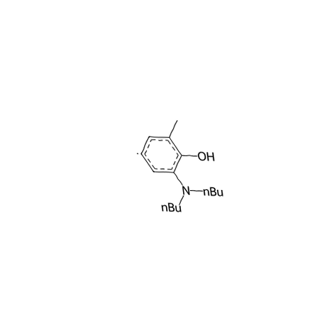 CCCCN(CCCC)c1c[c]cc(C)c1O